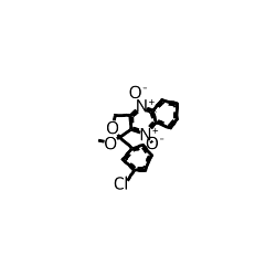 COC1(c2cccc(Cl)c2)OCc2c1[n+]([O-])c1ccccc1[n+]2[O-]